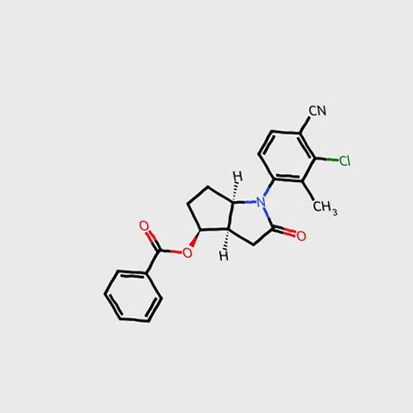 Cc1c(N2C(=O)C[C@H]3[C@@H](OC(=O)c4ccccc4)CC[C@H]32)ccc(C#N)c1Cl